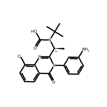 C[C@@H](c1nc2c(Cl)cccc2c(=O)n1-c1cccc(N)c1)N(C(=O)O)C(C)(C)C